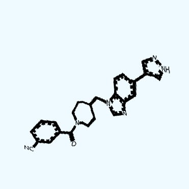 N#Cc1cccc(C(=O)N2CCC(Cn3cnc4cc(-c5cn[nH]c5)ccc43)CC2)c1